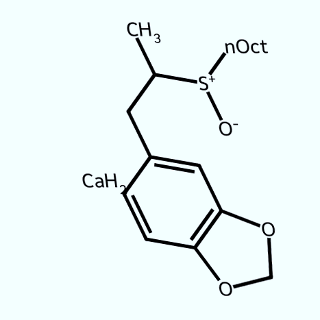 CCCCCCCC[S+]([O-])C(C)Cc1ccc2c(c1)OCO2.[CaH2]